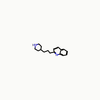 c1ccc2nc(CCCC3CCNCC3)ccc2c1